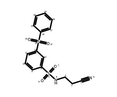 N#CCCNS(=O)(=O)c1cccc(S(=O)(=O)c2ccccc2)c1